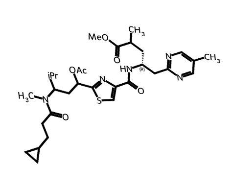 COC(=O)C(C)C[C@H](Cc1ncc(C)cn1)NC(=O)c1csc(C(CC(C(C)C)N(C)C(=O)CCC2CC2)OC(C)=O)n1